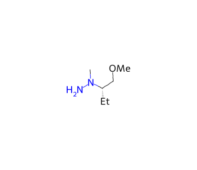 CC[C@@H](COC)N(C)N